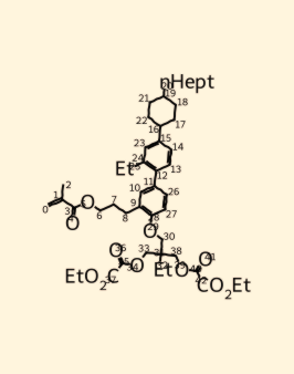 C=C(C)C(=O)OCCCc1cc(-c2ccc(C3CCC(CCCCCCC)CC3)cc2CC)ccc1OCC(CC)(COC(=O)C(=O)OCC)COC(=O)C(=O)OCC